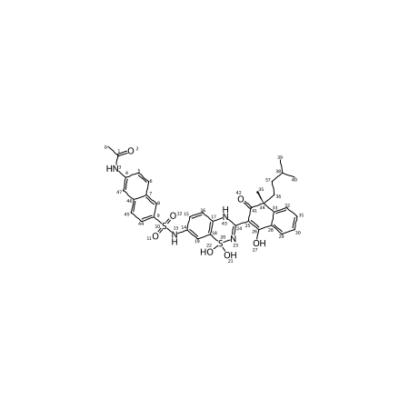 CC(=O)Nc1ccc2cc(S(=O)(=O)Nc3ccc4c(c3)S(O)(O)N=C(C3=C(O)c5ccccc5[C@@](C)(CCC(C)C)C3=O)N4)ccc2c1